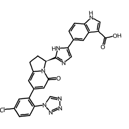 O=C(O)c1c[nH]c2ccc(-c3cnc([C@@H]4CCc5cc(-c6cc(Cl)ccc6-n6cnnn6)cc(=O)n54)[nH]3)cc12